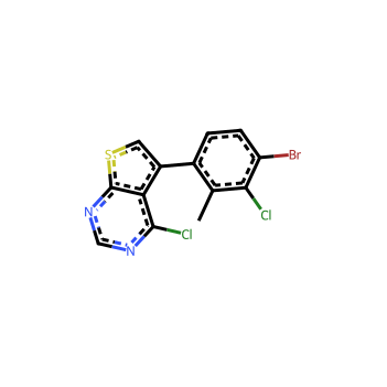 Cc1c(-c2csc3ncnc(Cl)c23)ccc(Br)c1Cl